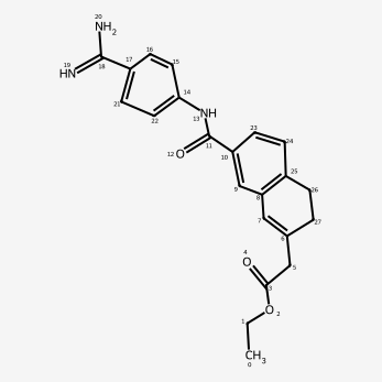 CCOC(=O)CC1=Cc2cc(C(=O)Nc3ccc(C(=N)N)cc3)ccc2CC1